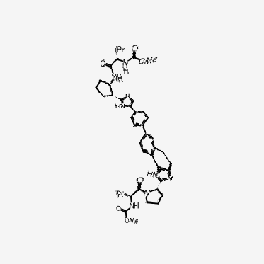 COC(=O)N[C@H](C(=O)N[C@@H]1CCC[C@@H]1c1ncc(-c2ccc(-c3ccc4c(c3)CCc3nc([C@@H]5CCCN5C(=O)[C@@H](NC(=O)OC)C(C)C)[nH]c3-4)cc2)[nH]1)C(C)C